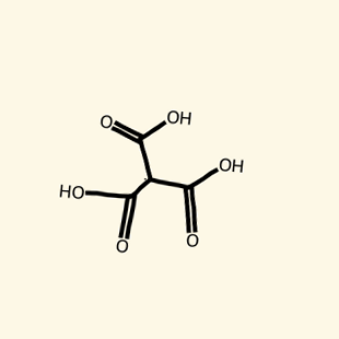 O=C(O)[C](C(=O)O)C(=O)O